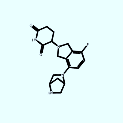 O=C1CCC(N2Cc3c(F)ccc(N4CC5CC4CN5)c3C2)C(=O)N1